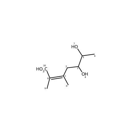 CC(CC(O)C(C)O)=C(C)C(=O)O